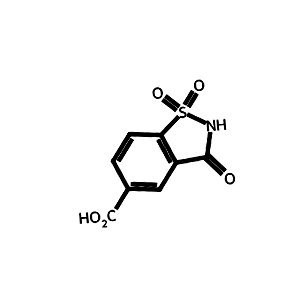 O=C(O)c1ccc2c(c1)C(=O)NS2(=O)=O